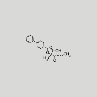 CCOC(=O)C(C)(OCc1ccc(-c2ccccc2)cc1)C(=O)O